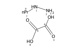 CCCNN.O=C(O)C(=O)O